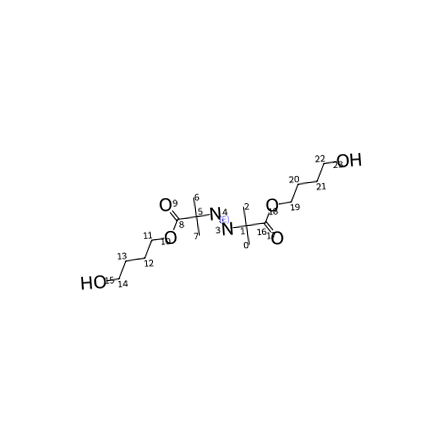 CC(C)(/N=N/C(C)(C)C(=O)OCCCCO)C(=O)OCCCCO